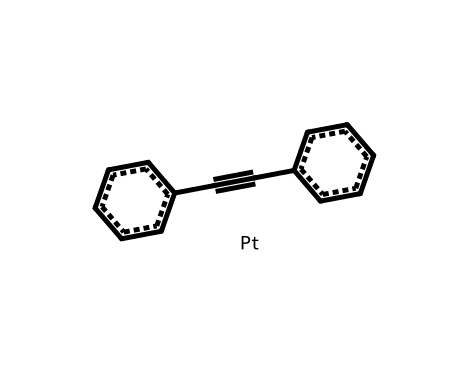 C(#Cc1ccccc1)c1ccccc1.[Pt]